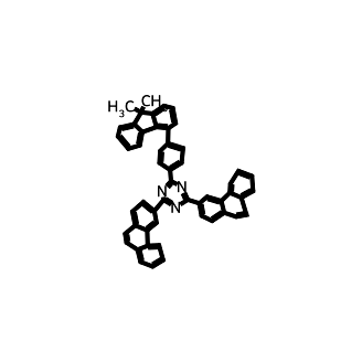 CC1(C)c2ccccc2-c2c(-c3ccc(-c4nc(-c5ccc6ccc7ccccc7c6c5)nc(-c5ccc6ccc7ccccc7c6c5)n4)cc3)cccc21